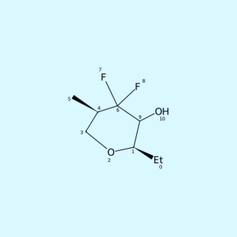 CC[C@H]1OC[C@@H](C)C(F)(F)C1O